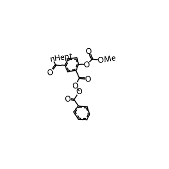 CCCCCCCC(=O)c1ccc(OC(=O)OC)c(C(=O)OOC(=O)c2ccccc2)c1